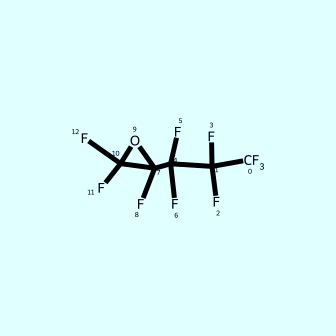 FC(F)(F)C(F)(F)C(F)(F)C1(F)OC1(F)F